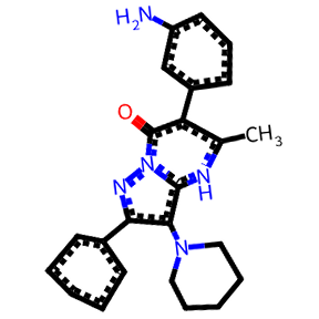 Cc1[nH]c2c(N3CCCCC3)c(-c3ccccc3)nn2c(=O)c1-c1cccc(N)c1